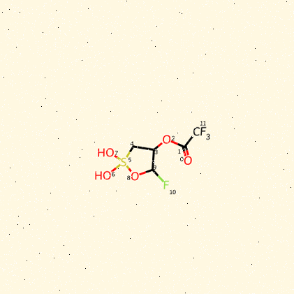 O=C(OC1CS(O)(O)OC1F)C(F)(F)F